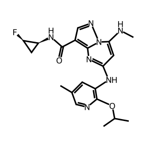 CNc1cc(Nc2cc(C)cnc2OC(C)C)nc2c(C(=O)N[C@H]3C[C@H]3F)cnn12